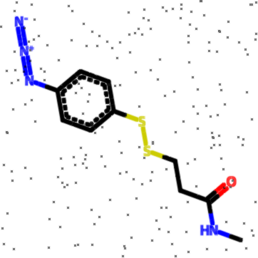 CNC(=O)CCSSc1ccc(N=[N+]=[N-])cc1